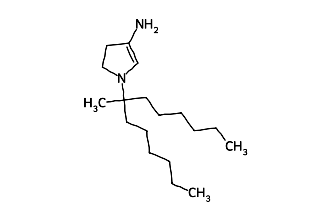 CCCCCCC(C)(CCCCCC)N1C=C(N)CC1